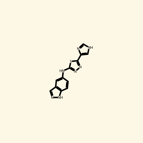 c1nc(-c2nnc(Nc3ccc4[nH]ncc4c3)s2)c[nH]1